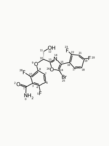 NC(=O)c1c(F)ccc(O[C@H](CO)c2nc(-c3ccc(F)cc3F)c(Br)o2)c1F